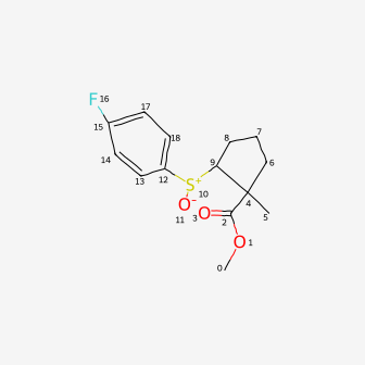 COC(=O)C1(C)CCCC1[S+]([O-])c1ccc(F)cc1